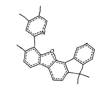 Cc1cnc(-c2c(C)ccc3c2oc2c4c(ccc23)C(C)(C)c2ccccc2-4)cc1C